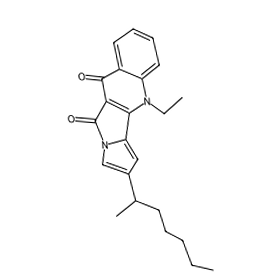 CCCCCC(C)c1cc2n(c1)C(=O)c1c-2n(CC)c2ccccc2c1=O